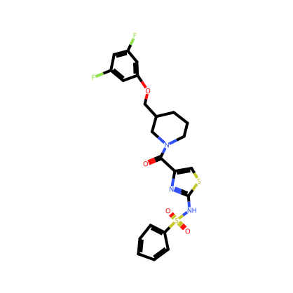 O=C(c1csc(NS(=O)(=O)c2ccccc2)n1)N1CCCC(COc2cc(F)cc(F)c2)C1